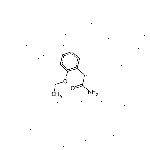 CCOc1ccccc1[CH]C(N)=O